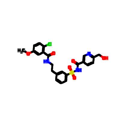 COc1ccc(Cl)c(C(=O)NCCc2cccc(S(=O)(=O)NC(=O)c3ccc(CO)nc3)c2)c1